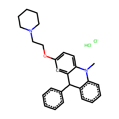 CN1C2=CC=C(OCCN3CCCCC3)[C+]=C2C(c2ccccc2)c2ccccc21.Cl.[Cl-]